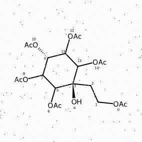 CC(=O)OCC[C@]1(O)C(OC(C)=O)C(OC(C)=O)[C@H](OC(C)=O)C(OC(C)=O)C1OC(C)=O